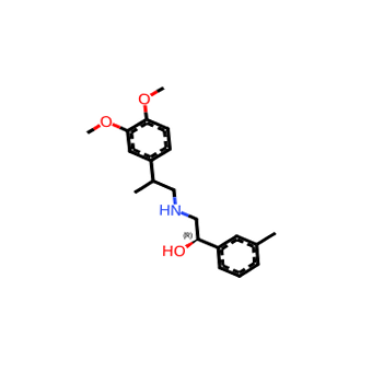 COc1ccc(C(C)CNC[C@H](O)c2cccc(C)c2)cc1OC